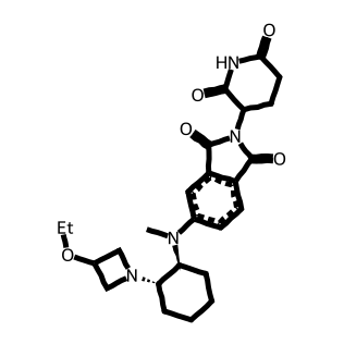 CCOC1CN([C@H]2CCCC[C@@H]2N(C)c2ccc3c(c2)C(=O)N(C2CCC(=O)NC2=O)C3=O)C1